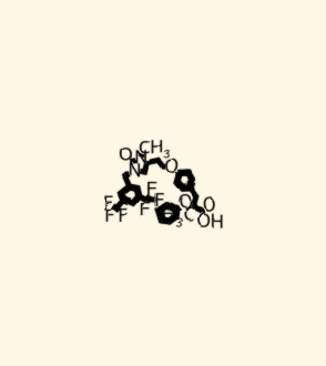 CN1C(=O)N(Cc2cc(C(F)(F)F)cc(C(F)(F)F)c2)CC1CCOc1ccc(CC(C)(Oc2ccccc2)C(=O)O)cc1